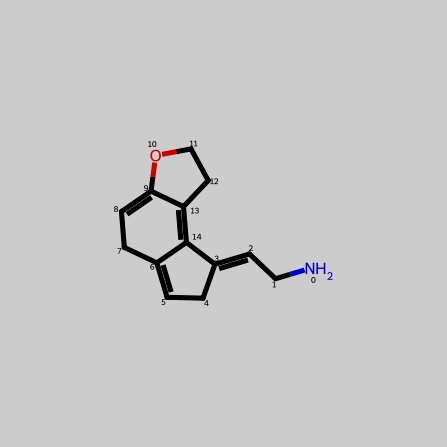 NC/C=C1\CC=C2CC=C3OCCC3=C21